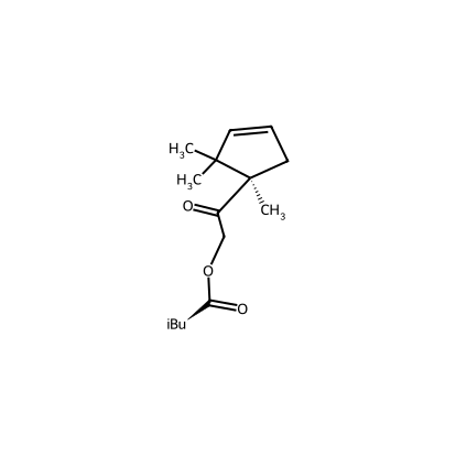 CC[C@H](C)C(=O)OCC(=O)[C@]1(C)CC=CC1(C)C